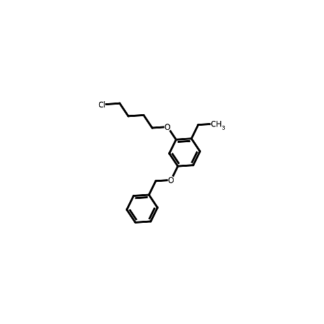 CCc1ccc(OCc2ccccc2)cc1OCCCCCl